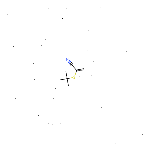 C=C(C#N)SC(C)(C)C